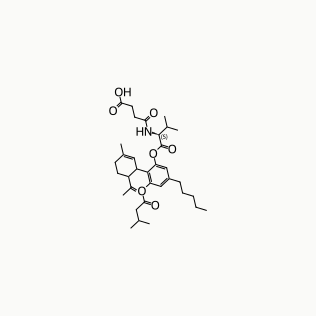 C=C(C)C1CCC(C)=CC1c1c(OC(=O)CC(C)C)cc(CCCCC)cc1OC(=O)[C@@H](NC(=O)CCC(=O)O)C(C)C